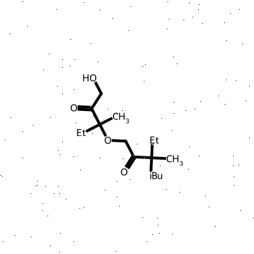 CCC(C)C(C)(CC)C(=O)COC(C)(CC)C(=O)CO